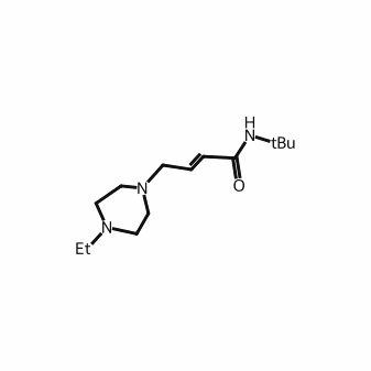 CCN1CCN(C/C=C/C(=O)NC(C)(C)C)CC1